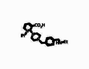 CCNCc1ccc(CN2CCN(C3C(C(=O)O)=CC=CN3C(C)C)CC2)cc1